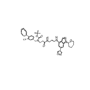 CC(C)(C)OC(=O)N(CCC(=O)NCCCNc1cc(-c2cnoc2)cc2c1cnn2C1CCCCO1)Cc1ccc(-c2ccccc2)c(Cl)c1